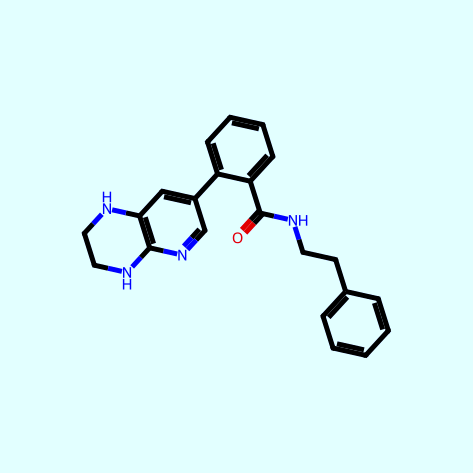 O=C(NCCc1ccccc1)c1ccccc1-c1cnc2c(c1)NCCN2